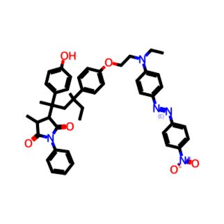 CCN(CCOc1ccc(C(C)(CC)CC(C)(c2ccc(O)cc2)C2C(=O)N(c3ccccc3)C(=O)C2C)cc1)c1ccc(/N=N/c2ccc([N+](=O)[O-])cc2)cc1